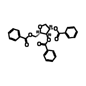 O=C(OC[C@@H]1OC[C@H](OC(=O)c2ccccc2)[C@H]1OC(=O)c1ccccc1)c1ccccc1